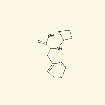 O=C(O)C(Cc1ccccc1)NC1CCC1